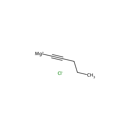 CCCC#[C][Mg+].[Cl-]